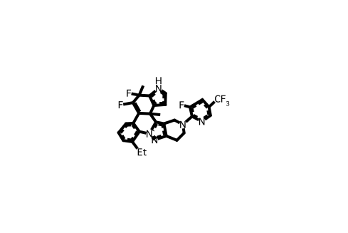 CCc1cccc2c1-n1nc3c(c1C1(C)C2=C(F)C(C)(F)c2[nH]ccc21)CN(c1ncc(C(F)(F)F)cc1F)CC3